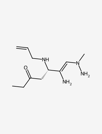 C=CCN[C@@H](CC(=O)CC)/C(N)=C/N(C)N